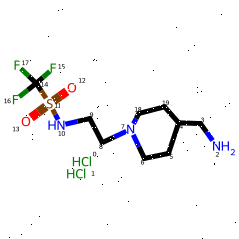 Cl.Cl.NCC1CCN(CCNS(=O)(=O)C(F)(F)F)CC1